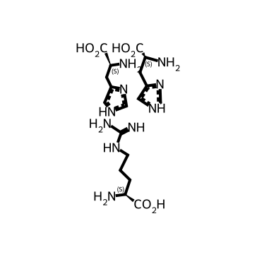 N=C(N)NCCC[C@H](N)C(=O)O.N[C@@H](Cc1c[nH]cn1)C(=O)O.N[C@@H](Cc1c[nH]cn1)C(=O)O